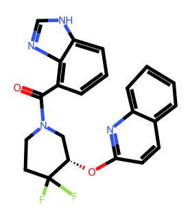 O=C(c1cccc2[nH]cnc12)N1CCC(F)(F)[C@@H](Oc2ccc3ccccc3n2)C1